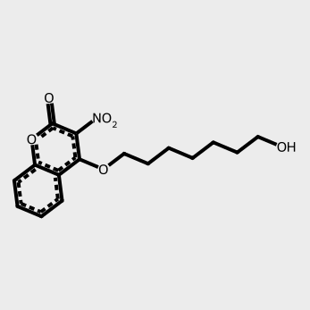 O=c1oc2ccccc2c(OCCCCCCCO)c1[N+](=O)[O-]